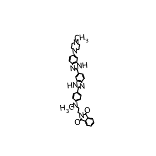 CN1CCN(c2ccc3nc(-c4ccc5nc(-c6ccc(N(C)CCN7C(=O)c8ccccc8C7=O)cc6)[nH]c5c4)[nH]c3c2)CC1